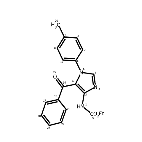 CCOC(=O)Nc1ncn(-c2ccc(C)cc2)c1C(=O)c1ccccc1